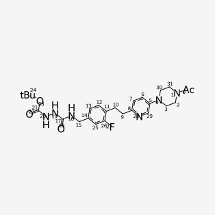 CC(=O)N1CCN(c2ccc(CCc3ccc(CNC(=O)NNC(=O)OC(C)(C)C)cc3F)nc2)CC1